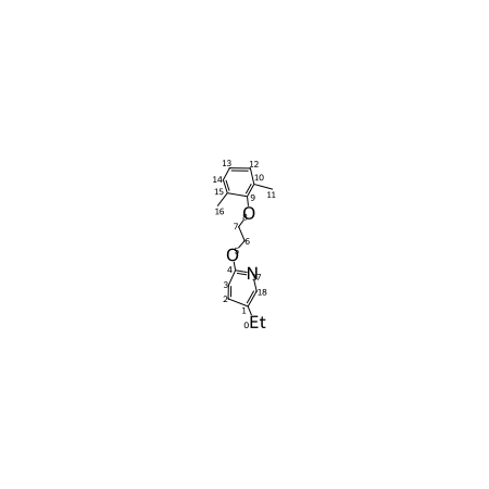 CCc1ccc(OCCOc2c(C)cccc2C)nc1